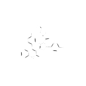 C=CCC(F)(F)C(=C)N1N=C(C2=C(c3ccc(F)cc3)c3ccccc3NC2=C)CC1c1ccc(F)cc1